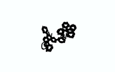 c1ccc(-c2nc3cc(-c4cccc(N5c6ccccc6C(c6ccccc6)(c6ccccc6)c6ccccc65)c4)ccc3c3c2ccc2oc4ccccc4c23)cc1